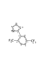 FC(F)(F)c1ccc(C(F)(F)F)c(-c2nc[c]s2)c1